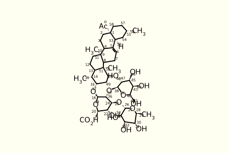 CC(=O)[C@@]12CCC3C(=CCC4[C@@]3(C)CCC3[C@@H](C)[C@@H](O[C@@H]5O[C@H](C(=O)O)[C@@H](O)[C@H](O[C@@H]6O[C@@H](C)[C@H](O)[C@@H](O)[C@H]6O)[C@H]5O[C@@H]5O[C@H](CO)[C@H](O)[C@H](O)[C@H]5O)CC[C@@]34C)[C@@H]1C[C@@H](C)CC2